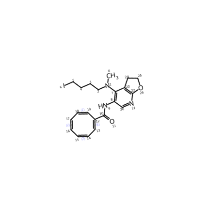 CN(CCCCI)c1c(NC(=O)C2=C/C=C\C=C/C=C\2)cnc2c1CCO2